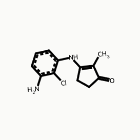 CC1=C(Nc2cccc(N)c2Cl)CCC1=O